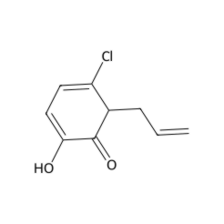 C=CCC1C(=O)C(O)=CC=C1Cl